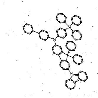 c1ccc(-c2ccc(N(c3ccc([Si](c4ccccc4)(c4ccccc4)c4ccccc4)cc3)c3ccc4c(c3)C(c3ccccc3)(c3ccccc3)c3cc(-n5c6ccccc6c6ccccc65)ccc3-4)cc2)cc1